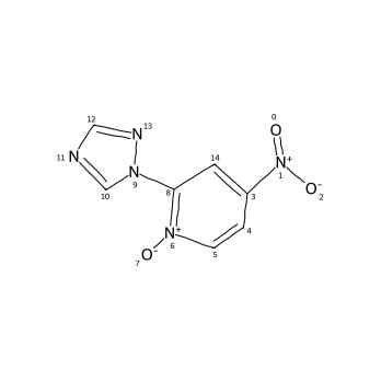 O=[N+]([O-])c1cc[n+]([O-])c(-n2cncn2)c1